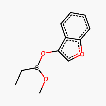 CCB(OC)Oc1coc2ccccc12